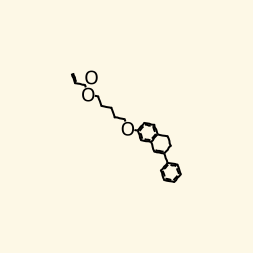 C=CC(=O)OCCCCCOc1ccc2c(c1)C=C(c1ccccc1)CC2